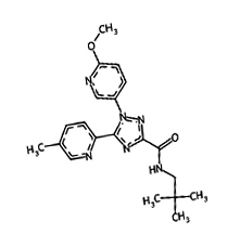 COc1ccc(-n2nc(C(=O)NCC(C)(C)C)nc2-c2ccc(C)cn2)cn1